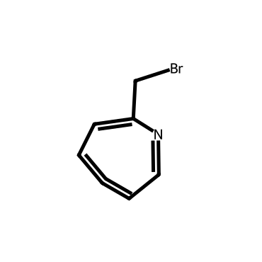 BrCC1=CC=C=CC=N1